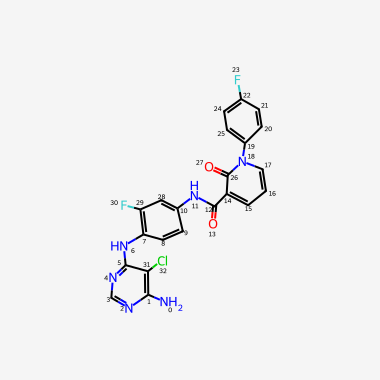 Nc1ncnc(Nc2ccc(NC(=O)c3cccn(-c4ccc(F)cc4)c3=O)cc2F)c1Cl